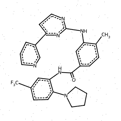 Cc1ccc(C(=O)Nc2cc(C(F)(F)F)ccc2N2CCCC2)cc1Nc1nccc(-c2cccnc2)n1